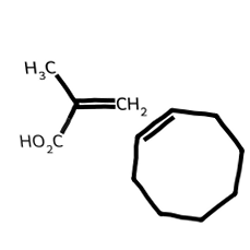 C1=CCCCCCC1.C=C(C)C(=O)O